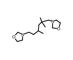 CC(CCN1CCOC1)CC(C)(C)CN1CCOC1